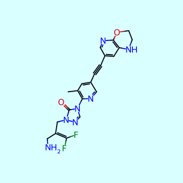 Cc1cc(C#Cc2cnc3c(c2)NCCO3)cnc1-n1cnn(CC(CN)=C(F)F)c1=O